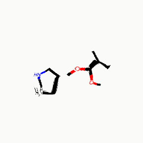 C1CN[SiH2]C1.COC(OC)=C(C)C